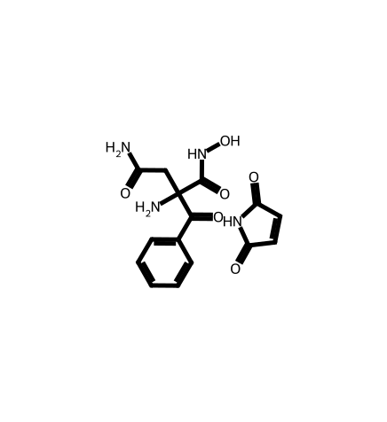 NC(=O)CC(N)(C(=O)NO)C(=O)c1ccccc1.O=C1C=CC(=O)N1